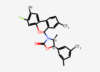 Cc1cc([C@H]2OC(=O)N(Cc3cc(C(F)(F)F)ccc3-c3cc(C(C)C)c(F)cc3O)[C@H]2C)cc(C(F)(F)F)c1